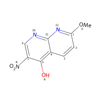 COc1ccc2c(O)c([N+](=O)[O-])cnc2n1